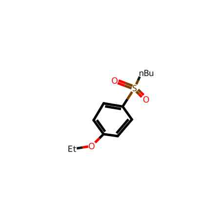 CCCCS(=O)(=O)c1ccc(OCC)cc1